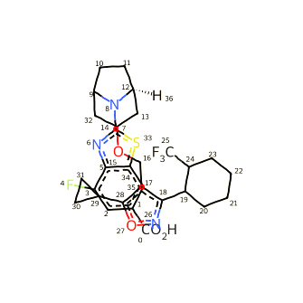 O=C(O)c1cc(F)c2nc(N3C4CC[C@H]3CC(OCc3c(C5CCCCC5C(F)(F)F)noc3C3CC3)C4)sc2c1